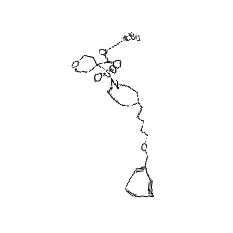 CC(C)(C)OC(=O)C1(S(=O)(=O)N2CCC(C=CCCCOCc3ccccc3)CC2)CCOCC1